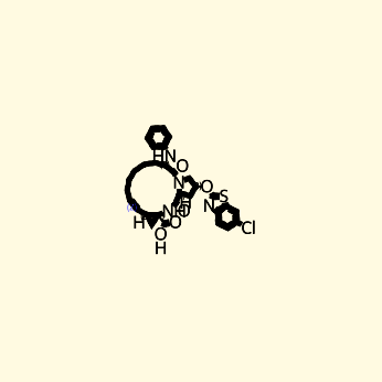 O=C1N[C@]2(C(=O)O)C[C@H]2/C=C\CCCCC[C@H](Nc2ccccc2)C(=O)N2C[C@H](Oc3nc4ccc(Cl)cc4s3)C[C@@H]12